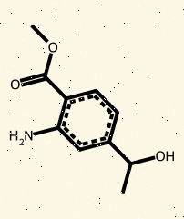 COC(=O)c1ccc(C(C)O)cc1N